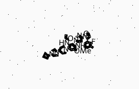 C=CC(=O)Nc1cc(Nc2cc(N3OCC[C@@H]3c3cccc(C)c3F)ncn2)c(OC)cc1N1CCC(N2CCN(C3CCC3)CC2)CC1